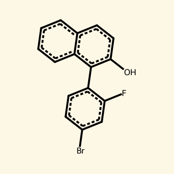 Oc1ccc2ccccc2c1-c1ccc(Br)cc1F